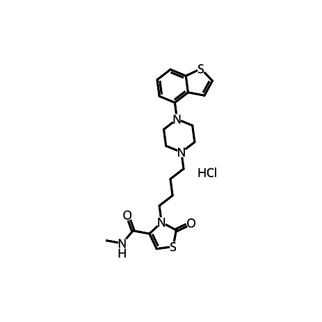 CNC(=O)c1csc(=O)n1CCCCN1CCN(c2cccc3sccc23)CC1.Cl